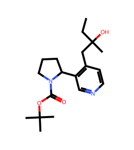 CCC(C)(O)Cc1ccncc1C1CCCN1C(=O)OC(C)(C)C